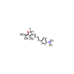 CCN(CC)c1ccc(C=CC=CC2=C(C#N)C(=C(C#N)C#N)OC2(C)C)cc1